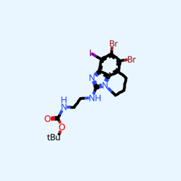 CC(C)(C)OC(=O)NCCNc1nc2c(I)c(Br)c(Br)c3c2n1CCC3